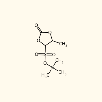 CC1OC(=O)OC1S(=O)(=O)O[Si](C)(C)C